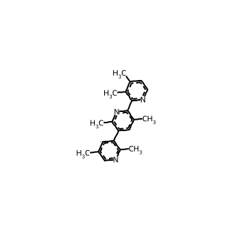 Cc1[c]c(-c2cc(C)c(-c3nccc(C)c3C)nc2C)c(C)nc1